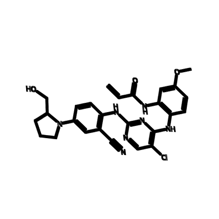 C=CC(=O)Nc1cc(OC)ccc1Nc1nc(Nc2ccc(N3CCCC3CO)cc2C#N)ncc1Cl